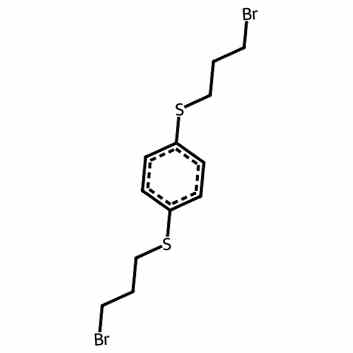 BrCCCSc1ccc(SCCCBr)cc1